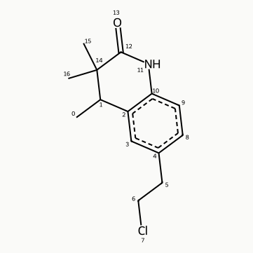 CC1c2cc(CCCl)ccc2NC(=O)C1(C)C